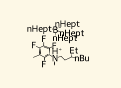 CCCCC(CC)CC[NH+](C)c1c(F)c(C)c(F)c(F)c1F.CCCCCCC[B-](CCCCCCC)(CCCCCCC)CCCCCCC